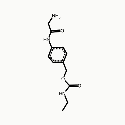 CCNC(=O)OCc1ccc(NC(=O)CN)cc1